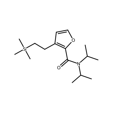 CC(C)N(C(=O)c1occc1CC[Si](C)(C)C)C(C)C